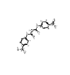 O=C(NC(=O)Oc1ccc([N+](=O)[O-])cc1)Oc1ccc([N+](=O)[O-])cc1